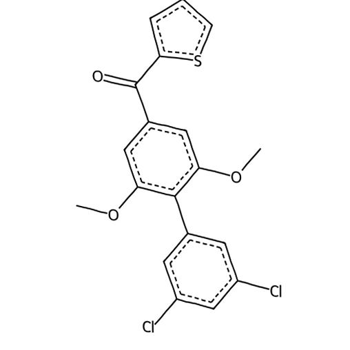 COc1cc(C(=O)c2cccs2)cc(OC)c1-c1cc(Cl)cc(Cl)c1